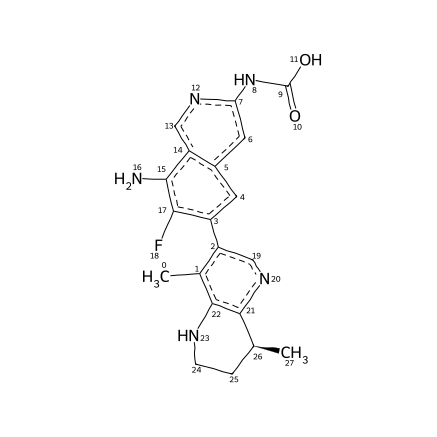 Cc1c(-c2cc3cc(NC(=O)O)ncc3c(N)c2F)cnc2c1NCC[C@@H]2C